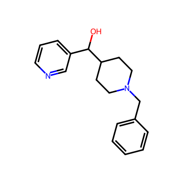 OC(c1cccnc1)C1CCN(Cc2ccccc2)CC1